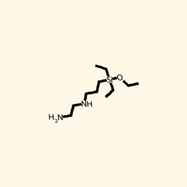 CCO[Si](CC)(CC)CCCNCCN